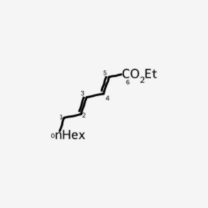 CCCCCCCC=CC=CC(=O)OCC